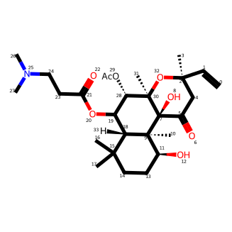 C=C[C@@]1(C)CC(=O)[C@]2(O)[C@@]3(C)[C@@H](O)CCC(C)(C)[C@@H]3C(OC(=O)CCN(C)C)[C@H](OC(C)=O)[C@@]2(C)O1